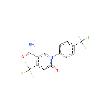 NC(=O)c1cn(-c2ccc(C(F)(F)F)cc2)c(=O)cc1C(F)(F)F